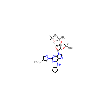 CC(C)(C)[Si](C)(C)OC[C@H]1O[C@@H](n2cnc3c(NC4CCCC4)nc(-n4cc(C(=O)O)cn4)nc32)[C@@H](O[Si](C)(C)C(C)(C)C)[C@@H]1O[Si](C)(C)C(C)(C)C